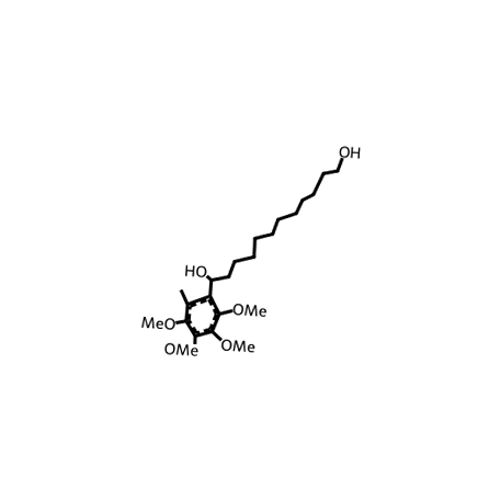 COc1c(C)c(C(O)CCCCCCCCCCCO)c(OC)c(OC)c1OC